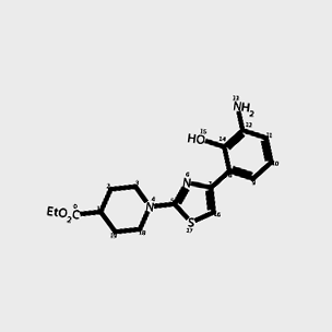 CCOC(=O)C1CCN(c2nc(-c3cccc(N)c3O)cs2)CC1